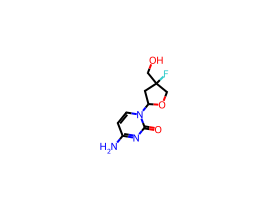 Nc1ccn(C2CC(F)(CO)CO2)c(=O)n1